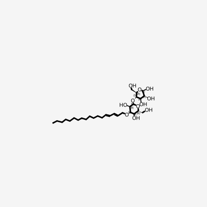 CCCCCCCCCCCCCC=CC=CCO[C@@H]1[C@@H](O)[C@@H](O[C@H]2[C@H](O)[C@@H](O)[C@H](O)O[C@@H]2CO)O[C@H](CO)[C@H]1O